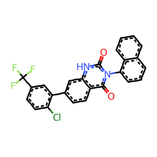 O=c1[nH]c2cc(-c3cc(C(F)(F)F)ccc3Cl)ccc2c(=O)n1-c1cccc2ccccc12